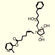 Cc1ncccc1OC(=O)CCC/C=C\C[C@@H]1[C@@H](CC[C@@H](O)CCc2ccccc2)[C@H](O)C[C@@H]1O